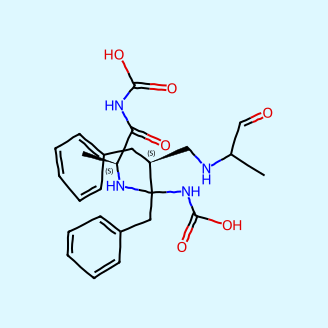 CC(C=O)NC[C@H](Cc1ccccc1)C(Cc1ccccc1)(NC(=O)O)N[C@@H](C)C(=O)NC(=O)O